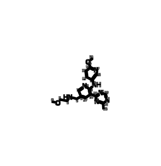 COCCNCc1cnc(Nc2ccc(OC)nc2)c(-c2ncnc(C)n2)c1